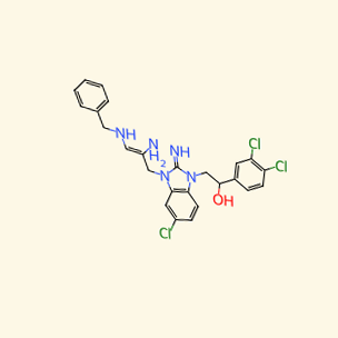 N=c1n(C/C(N)=C/NCc2ccccc2)c2cc(Cl)ccc2n1CC(O)c1ccc(Cl)c(Cl)c1